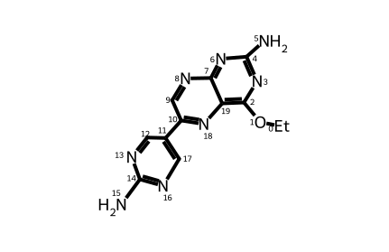 CCOc1nc(N)nc2ncc(-c3cnc(N)nc3)nc12